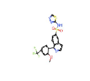 COc1cc(C(F)(F)F)ccc1-c1nccc2cc(S(=O)(=O)Nc3nncs3)ccc12